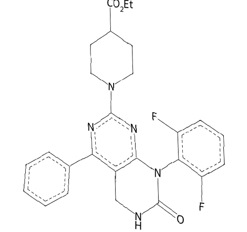 CCOC(=O)C1CCN(c2nc(-c3ccccc3)c3c(n2)N(c2c(F)cccc2F)C(=O)NC3)CC1